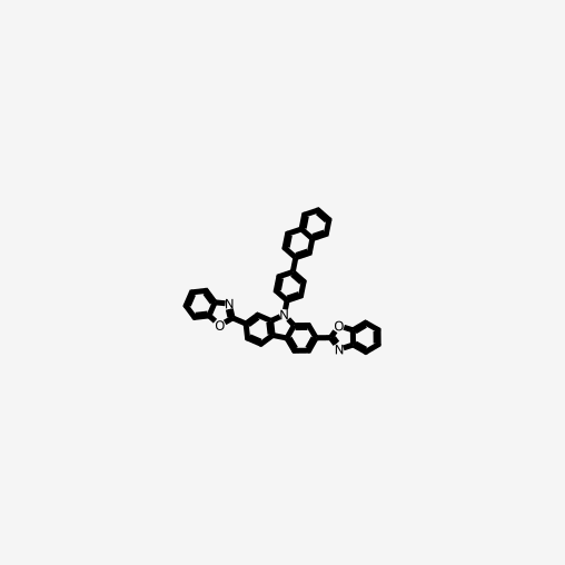 c1ccc2cc(-c3ccc(-n4c5cc(-c6nc7ccccc7o6)ccc5c5ccc(-c6nc7ccccc7o6)cc54)cc3)ccc2c1